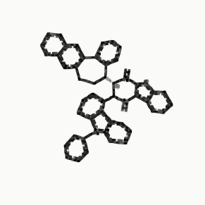 c1ccc(-n2c3ccccc3c3c(C4Nc5c(sc6ccccc56)N[C@H]4C4CCc5cc6ccccc6cc5-c5ccccc54)cccc32)cc1